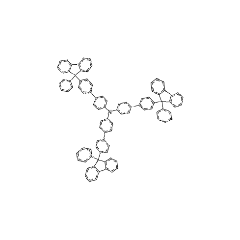 c1ccc(C2(c3ccc(-c4ccc(N(c5ccc(-c6ccc(C7(c8ccccc8)c8ccccc8-c8ccccc87)cc6)cc5)c5ccc(-c6ccc(C7(c8ccccc8)c8ccccc8-c8ccccc87)cc6)cc5)cc4)cc3)c3ccccc3-c3ccccc32)cc1